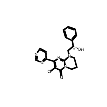 O=c1c(Cl)c(-c2ccncn2)nc2n1CCCN2C[C@@H](O)c1ccccc1